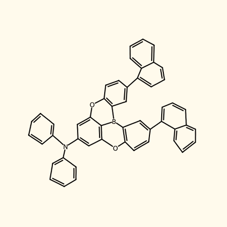 c1ccc(N(c2ccccc2)c2cc3c4c(c2)Oc2ccc(-c5cccc6ccccc56)cc2B4c2cc(-c4cccc5ccccc45)ccc2O3)cc1